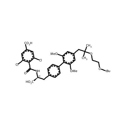 COc1cc(CC(C)(C)OCCOC(C)(C)C)cc(OC)c1-c1ccc(C[C@H](NC(=O)c2c(Cl)cc(C(=O)O)cc2Cl)C(=O)O)cc1